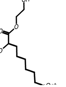 CCCCCCCCCCCCCCC(O)C(=O)OCCO